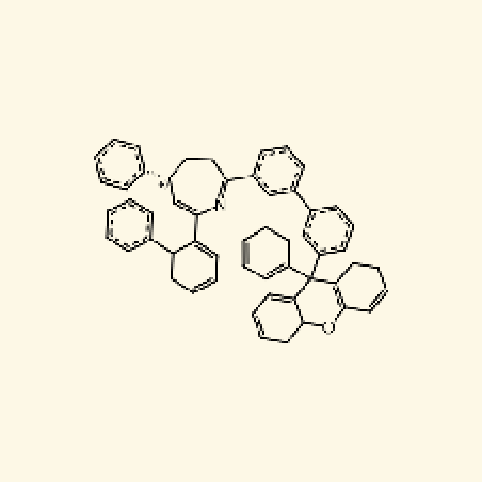 C1=CCCC(C2(c3cccc(-c4cccc(C5=NC(C6=CC=CCC6c6ccccc6)=C[C@H](c6ccccc6)CC5)c4)c3)C3=CC=CCC3OC3=C2CCC=C3)=C1